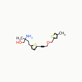 Cc1csc(COCC#Cc2ccc(CCC(C)(N)CO)s2)c1